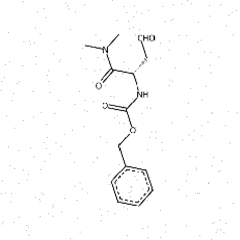 CN(C)C(=O)[C@H](CC=O)NC(=O)OCc1ccccc1